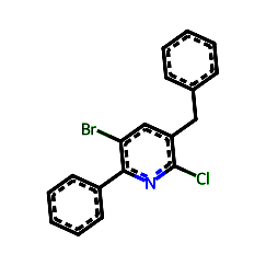 Clc1nc(-c2ccccc2)c(Br)cc1Cc1ccccc1